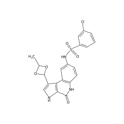 CC1OC(c2c[nH]c3c(=O)[nH]c4ccc(NS(=O)(=O)c5cccc(Cl)c5)cc4c23)O1